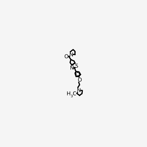 C[C@@H]1CCCN1CCCOc1ccc(-c2nc3c(s2)CC(C(=O)N2CCCC2)C3)cc1